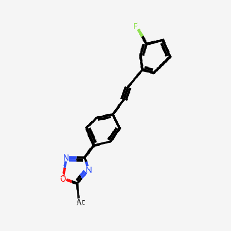 CC(=O)c1nc(-c2ccc(C#Cc3cccc(F)c3)cc2)no1